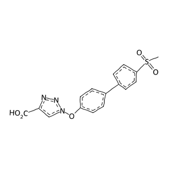 CS(=O)(=O)c1ccc(-c2ccc(On3cc(C(=O)O)nn3)cc2)cc1